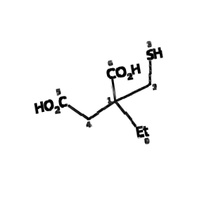 CCC(CS)(CC(=O)O)C(=O)O